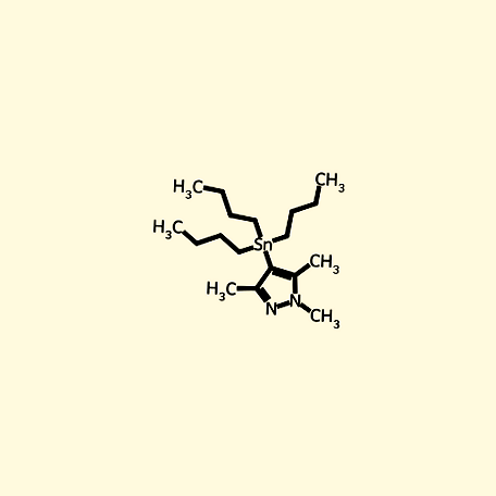 CCC[CH2][Sn]([CH2]CCC)([CH2]CCC)[c]1c(C)nn(C)c1C